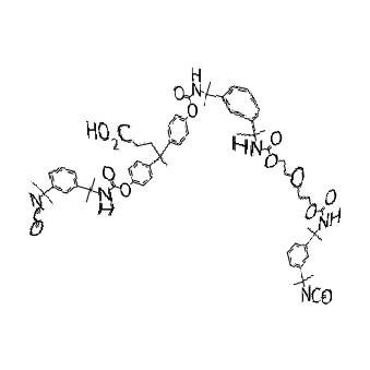 CC(C)(N=C=O)c1cccc(C(C)(C)NC(=O)OCCOCCOC(=O)NC(C)(C)c2cccc(C(C)(C)NC(=O)Oc3ccc(C(C)(CCC(=O)O)c4ccc(OC(=O)NC(C)(C)c5cccc(C(C)(C)N=C=O)c5)cc4)cc3)c2)c1